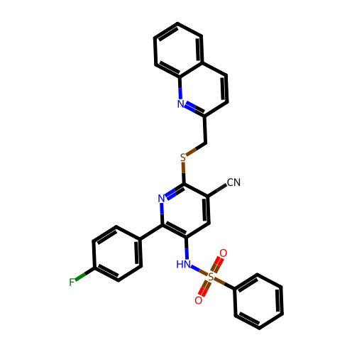 N#Cc1cc(NS(=O)(=O)c2ccccc2)c(-c2ccc(F)cc2)nc1SCc1ccc2ccccc2n1